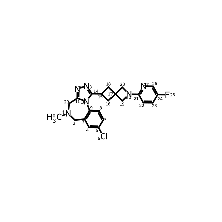 CN1Cc2cc(Cl)ccc2-n2c(nnc2C2CC3(C2)CN(c2ccc(F)cn2)C3)C1